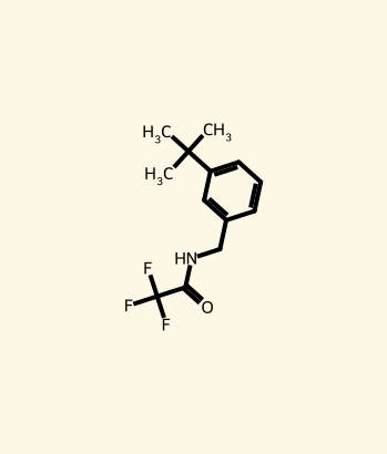 CC(C)(C)c1cccc(CNC(=O)C(F)(F)F)c1